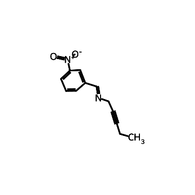 CCC#CCN=Cc1cccc([N+](=O)[O-])c1